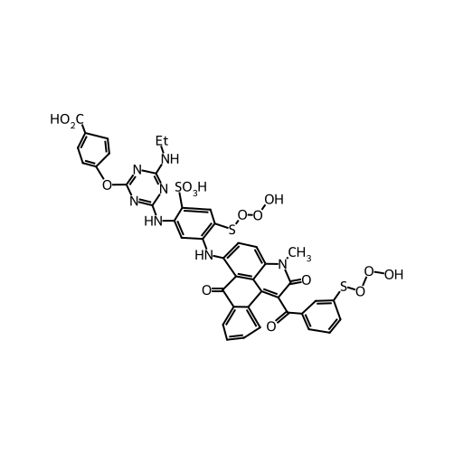 CCNc1nc(Nc2cc(Nc3ccc4c5c3C(=O)c3ccccc3-c5c(C(=O)c3cccc(SOOO)c3)c(=O)n4C)c(SOOO)cc2S(=O)(=O)O)nc(Oc2ccc(C(=O)O)cc2)n1